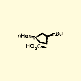 CC(=O)O.CCCCCCN1CCC(CCCC)C1